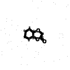 O=C1COC2CCCCC2O1